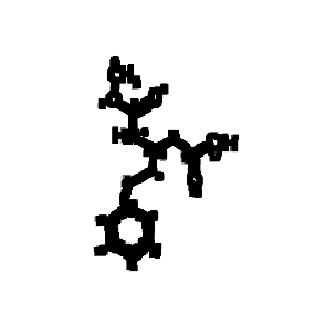 COC(=O)N[C@H](CCc1ccccc1)CC(=O)O